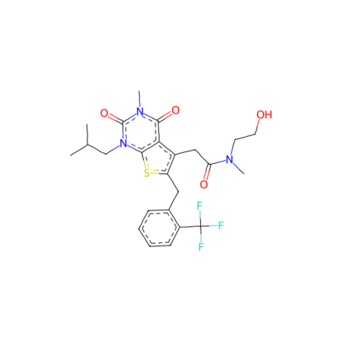 CC(C)Cn1c(=O)n(C)c(=O)c2c(CC(=O)N(C)CCO)c(Cc3ccccc3C(F)(F)F)sc21